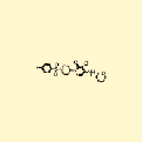 O=c1c(Cl)c(NC[C@H]2CCCOC2)cnn1C1CCN(S(=O)(=O)c2ccc(F)cc2)CC1